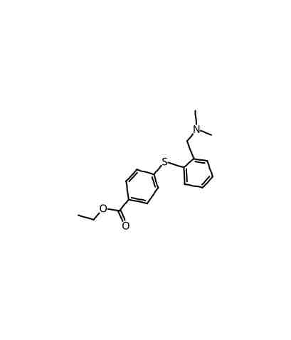 CCOC(=O)c1ccc(Sc2ccccc2CN(C)C)cc1